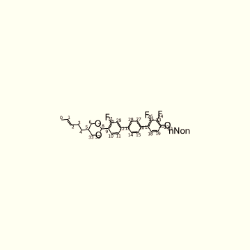 C/C=C/CCC1COC(c2ccc(-c3ccc(-c4ccc(OCCCCCCCCC)c(F)c4F)cc3)cc2F)OC1